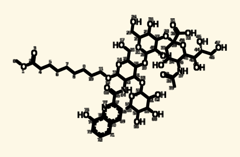 COC(=O)CCCCCCCCOC1OC(CO)C(OC2OC(CO)C(O)C(O[C@]3(C(=O)O)CC(O)C(NC(C)=O)C([C@H](O)[C@H](O)CO)O3)C2O)C(OC2OC(C)C(O)C(O)C2O)C1NC(=O)c1ccc2cccc(O)c2n1